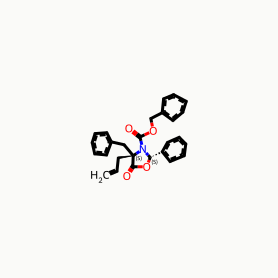 C=CC[C@]1(Cc2ccccc2)C(=O)O[C@@H](c2ccccc2)N1C(=O)OCc1ccccc1